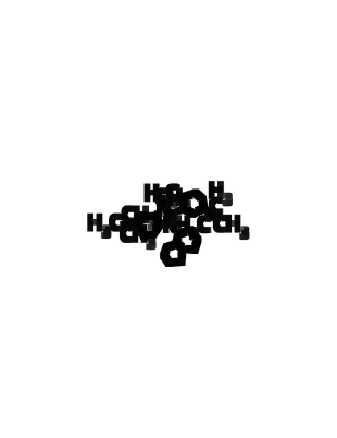 Cc1ccc(C(C)(C)C)cc1-c1n(-c2cccc3ccccc23)c2ccc(C(C)(C)C)cc2[n+]1C